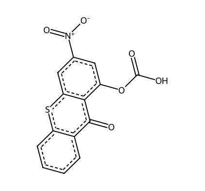 O=C(O)Oc1cc([N+](=O)[O-])cc2sc3ccccc3c(=O)c12